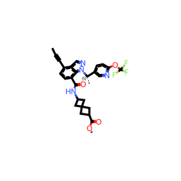 CC#Cc1ccc(C(=O)NC2CC3(C2)CC(C(=O)OC)C3)c2c1cnn2[C@@H](C)c1ccc(OC(F)(F)F)nc1